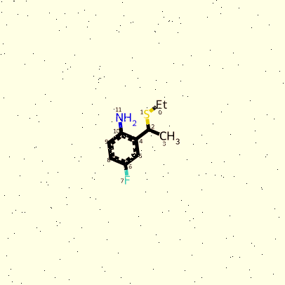 CCSC(C)c1cc(F)ccc1N